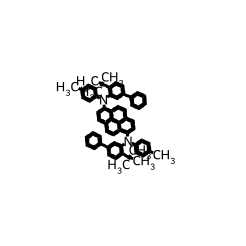 Cc1ccc(N(c2cc(-c3ccccc3)ccc2C(C)(C)C)c2ccc3ccc4c(N(c5ccc(C)cc5)c5cc(-c6ccccc6)ccc5C(C)(C)C)ccc5ccc2c3c54)cc1